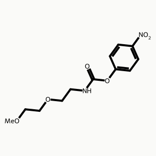 COCCOCCNC(=O)Oc1ccc([N+](=O)[O-])cc1